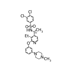 CCc1c([C@H](C)NS(=O)(=O)c2ccc(Cl)c(Cl)c2)ccnc1Oc1cccc(N2CCN(C)CC2)c1